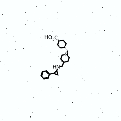 O=C(O)[C@H]1CC[C@H](CN2CCC(CNC3CC3c3ccccc3)CC2)CC1